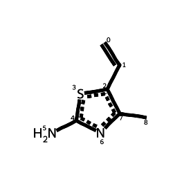 C=Cc1sc(N)nc1C